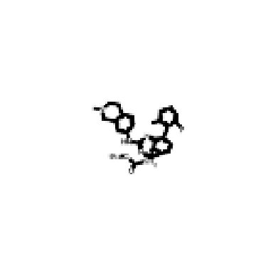 CC(C)(C)OC(N)=O.Cc1cccc(F)c1-c1ccc2c3c-2nc(Nc2ccc4c(c2)CN(C)CC4)nc13